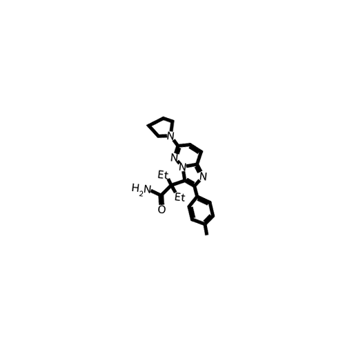 CCC(CC)(C(N)=O)c1c(-c2ccc(C)cc2)nc2ccc(N3CCCC3)nn12